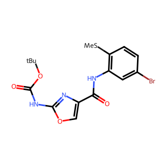 CSc1ccc(Br)cc1NC(=O)c1coc(NC(=O)OC(C)(C)C)n1